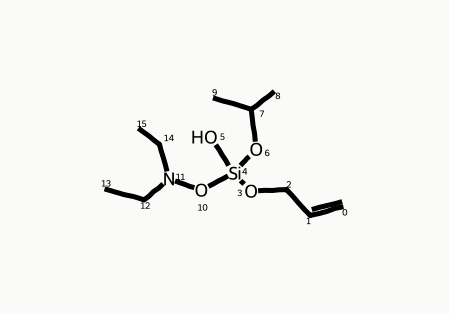 C=CCO[Si](O)(OC(C)C)ON(CC)CC